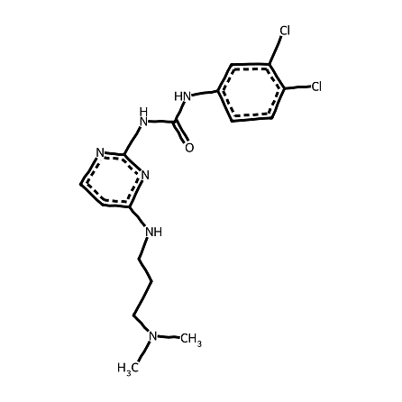 CN(C)CCCNc1ccnc(NC(=O)Nc2ccc(Cl)c(Cl)c2)n1